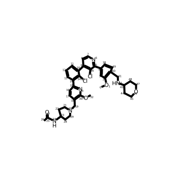 COc1cc(-c2nccc(-c3cccc(-c4ccc(CN5CCC(NC(C)=O)CC5)c(OC)n4)c3Cl)c2Cl)ccc1CNC1CCOCC1